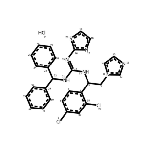 Cl.Clc1ccc(C(Cn2ccnc2)NC(=Nc2nccs2)NC(c2ccccc2)c2ccccc2)c(Cl)c1